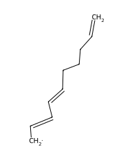 [CH2]C=CC=CCCCC=C